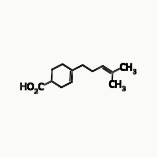 CC(C)=CCCC1=CCC(C(=O)O)CC1